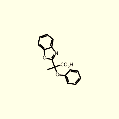 CC(Oc1ccccc1)(C(=O)O)c1nc2ccccc2o1